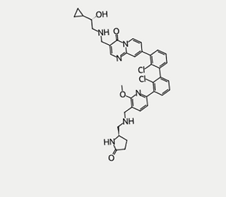 COc1nc(-c2cccc(-c3cccc(-c4ccn5c(=O)c(CNC[C@@H](O)C6CC6)cnc5c4)c3Cl)c2Cl)ccc1CNC[C@H]1CCC(=O)N1